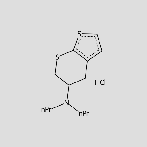 CCCN(CCC)C1CSc2sccc2C1.Cl